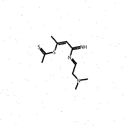 CC(=S)S/C(C)=C\C(=N)/N=C/CN(C)C